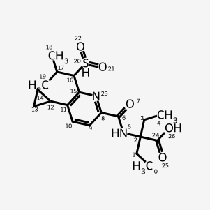 CCC(CC)(NC(=O)c1ccc(C2CC2)c(C(C(C)C)[SH](=O)=O)n1)C(=O)O